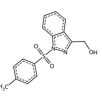 Cc1ccc(S(=O)(=O)n2nc(CO)c3ccccc32)cc1